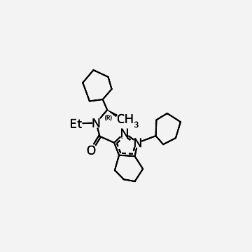 CCN(C(=O)c1nn(C2CCCCC2)c2c1CCCC2)[C@H](C)C1CCCCC1